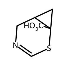 O=C(O)C12CC1CN=CS2